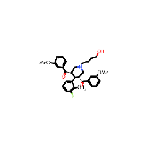 COc1cccc(C(=O)[C@H]2CN(CCCCO)C[C@H](C(=O)c3cccc(OC)c3)C2c2cccc(F)c2C)c1